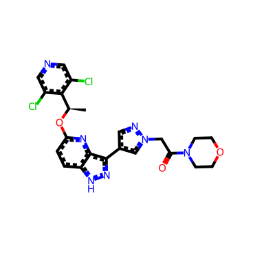 C[C@@H](Oc1ccc2[nH]nc(-c3cnn(CC(=O)N4CCOCC4)c3)c2n1)c1c(Cl)cncc1Cl